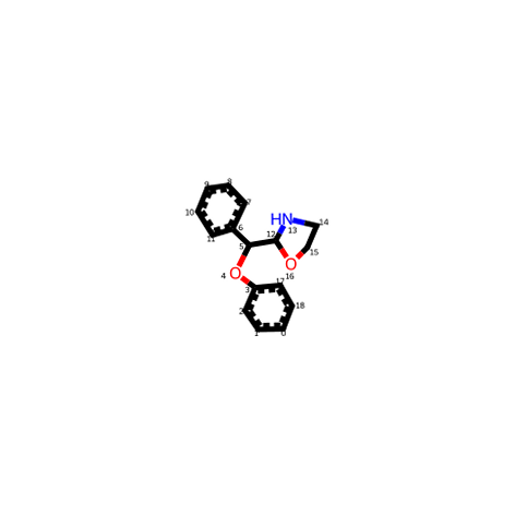 c1ccc(OC(c2ccccc2)C2NCCO2)cc1